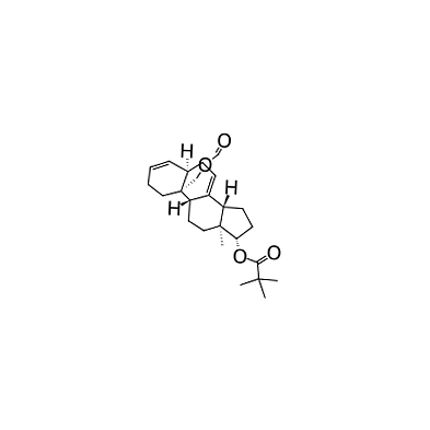 CC(C)(C)C(=O)O[C@H]1CC[C@H]2C3=CC[C@@H]4C=CCC[C@]4(COC=O)[C@H]3CC[C@]12C